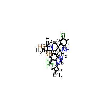 BC(S)(Cc1cc(C(F)(F)F)c2c(c1)ncn2C1CC(C)C1)C(B)(S)N1CCC2(CC1)C(=C)NC1C=CC(Cl)=CC12